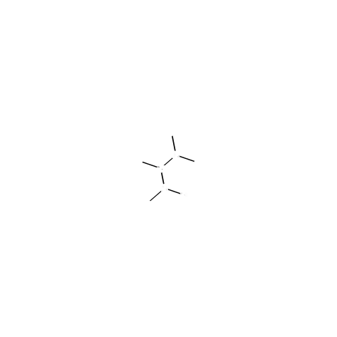 CN(C)N(C)N(C)N